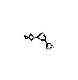 c1[nH]nnc1-c1cncc(N2CC3(CC3)C2)n1